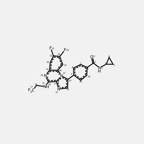 O=C(NC1CC1)c1ccc(-c2cnc3c(NCC(F)(F)F)nc4cc(F)c(F)cc4n23)cc1